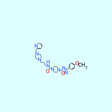 COc1ccc(-c2noc(N3CCN(C(=O)NCCCN4CCN(Cc5ccccn5)CC4)CC3)n2)cc1